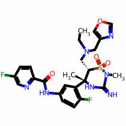 CCN(Cc1cocn1)C[C@H]1[C@@](C)(c2cc(NC(=O)c3ccc(F)cn3)ccc2F)NC(=N)N(C)S1(=O)=O